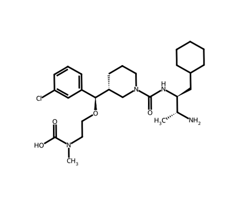 C[C@@H](N)[C@H](CC1CCCCC1)NC(=O)N1CCC[C@@H]([C@@H](OCCN(C)C(=O)O)c2cccc(Cl)c2)C1